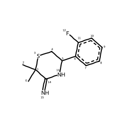 CC1(C)SCC(c2ccccc2F)NC1=N